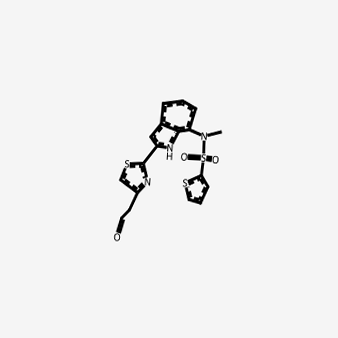 CN(c1cccc2cc(-c3nc(CC=O)cs3)[nH]c12)S(=O)(=O)c1cccs1